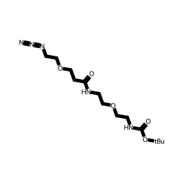 CC(C)(C)OC(=O)NCCOCCNC(=O)CCOCCN=[N+]=[N-]